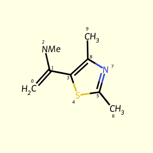 C=C(NC)c1sc(C)nc1C